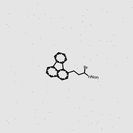 CCCCCCCCCC(Br)CCc1ccc2cccc3c2c1-c1ccccc1-3